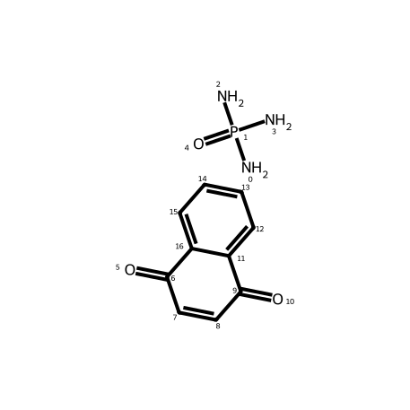 NP(N)(N)=O.O=C1C=CC(=O)c2ccccc21